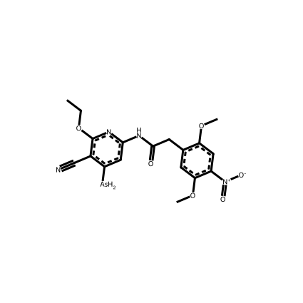 CCOc1nc(NC(=O)Cc2cc(OC)c([N+](=O)[O-])cc2OC)cc([AsH2])c1C#N